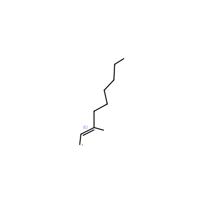 [CH2]/C=C(\C)CCCCCC